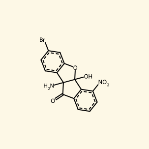 NC12C(=O)c3cccc([N+](=O)[O-])c3C1(O)Oc1cc(Br)ccc12